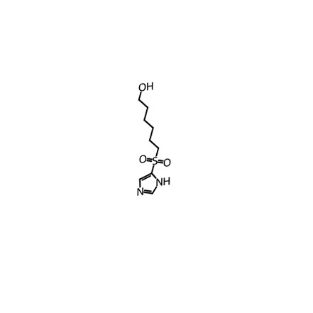 O=S(=O)(CCCCCCO)c1cnc[nH]1